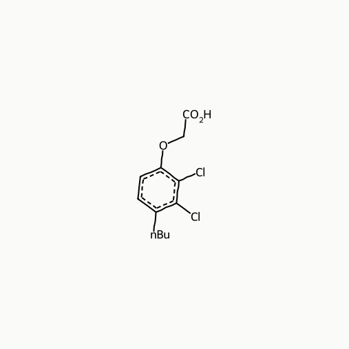 CCCCc1ccc(OCC(=O)O)c(Cl)c1Cl